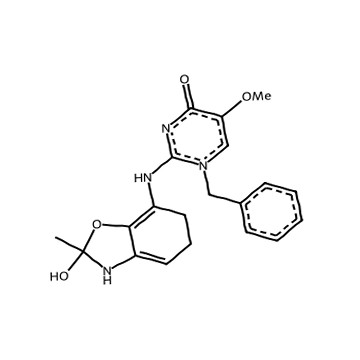 COc1cn(Cc2ccccc2)c(NC2=C3OC(C)(O)NC3=CCC2)nc1=O